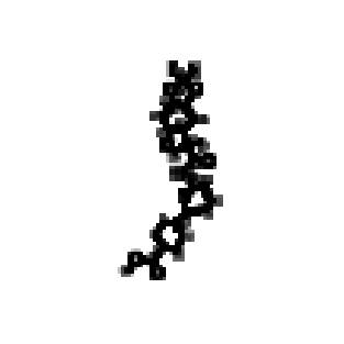 COC(=O)C1CCN(c2cccc(NC(=O)C3(C)COc4cc5c(cc43)OC(F)(F)O5)n2)CC1